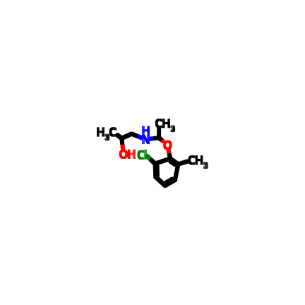 Cc1cccc(Cl)c1OC(C)NCC(C)O